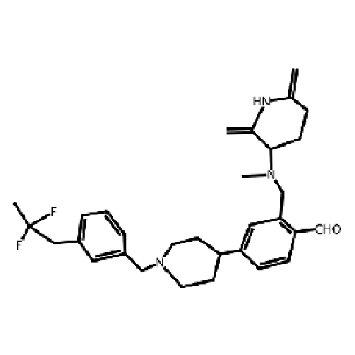 C=C1CCC(N(C)Cc2cc(C3CCN(Cc4cccc(CC(C)(F)F)c4)CC3)ccc2C=O)C(=C)N1